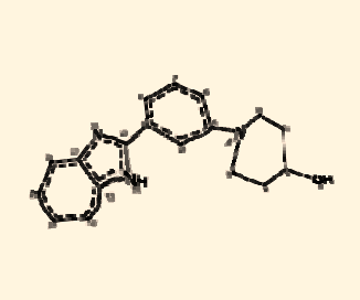 OC1CCN(c2cccc(-c3nc4ccccc4[nH]3)c2)CC1